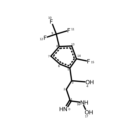 N=C(CC(O)c1ccc(C(F)(F)F)cc1F)NO